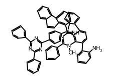 CN(/C(=N\C(=N)c1cccc2c1ccc1ccccc12)c1ccccc1)c1c(-c2ccccc2N)ccc2c3ccccc3n(-c3ccc(-c4nc(-c5ccccc5)nc(-c5ccccc5)n4)cc3)c12